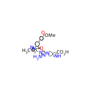 COC(=O)c1ccc(-c2ccc(-n3ccc(C)n3)c([C@@H](Oc3cc(N4CCC5(CC4)CNC(C(=O)O)C5)nc(N)n3)C(F)(F)F)c2)cc1